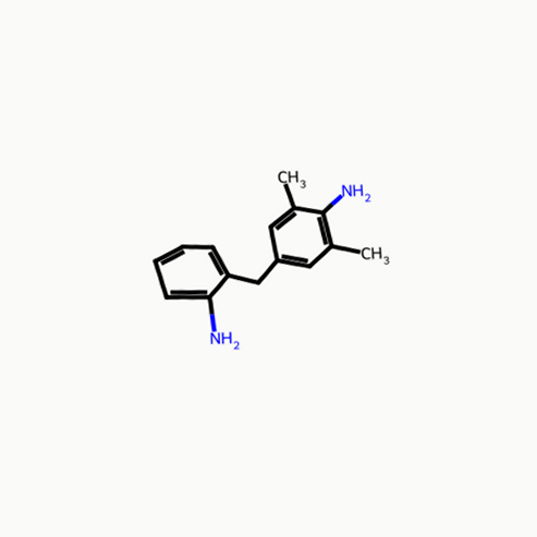 Cc1cc(Cc2ccccc2N)cc(C)c1N